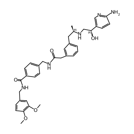 COc1ccc(CNC(=O)c2ccc(CNC(=O)Cc3cccc(C[C@@H](C)NC[C@H](O)c4ccc(N)nc4)c3)cc2)cc1OC